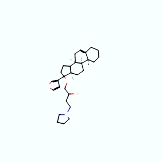 C[C@]12CCCCC1=CC[C@@H]1[C@H]2CC[C@@]2(C)[C@H]1CCC2(OCC(O)CCN1CCCC1)c1ccoc1